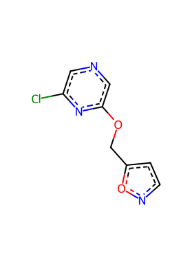 Clc1cncc(OCc2ccno2)n1